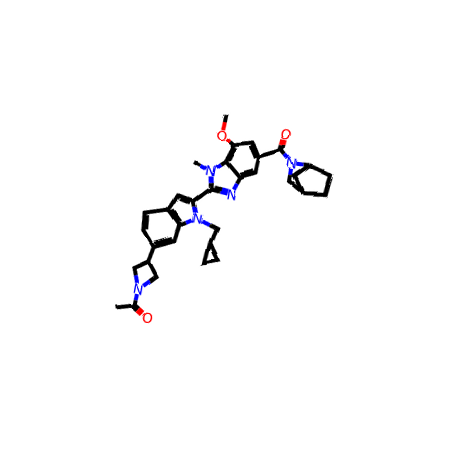 COc1cc(C(=O)N2CC3CCC2C3)cc2nc(-c3cc4ccc(C5CN(C(C)=O)C5)cc4n3CC3CC3)n(C)c12